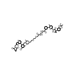 Cc1ccc(NC(=O)C2(c3ccc4c(c3)OC(F)(F)O4)CC2)nc1-c1cccc(C(=O)NCCNC(=O)COCCOCCN2C[C@H](C)N(Cc3c(C)cc(Cl)cc3-c3ccnc4cc(CN5C(=O)C6CC6C5=O)sc34)[C@@H](C)C2)c1